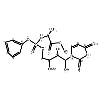 COC(COP(=O)(N[C@@H](C)C(=O)OC(C)C)Oc1ccccc1)C(O)C(O)n1ccc(=O)[nH]c1=S